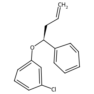 C=CC[C@H](Oc1cccc(Cl)c1)c1ccccc1